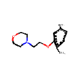 CNc1ccc(C)c(OCCN2CCOCC2)c1